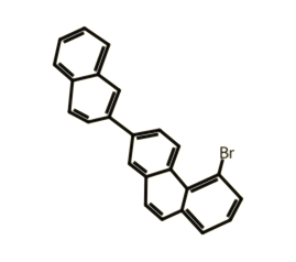 Brc1cccc2ccc3cc(-c4ccc5ccccc5c4)ccc3c12